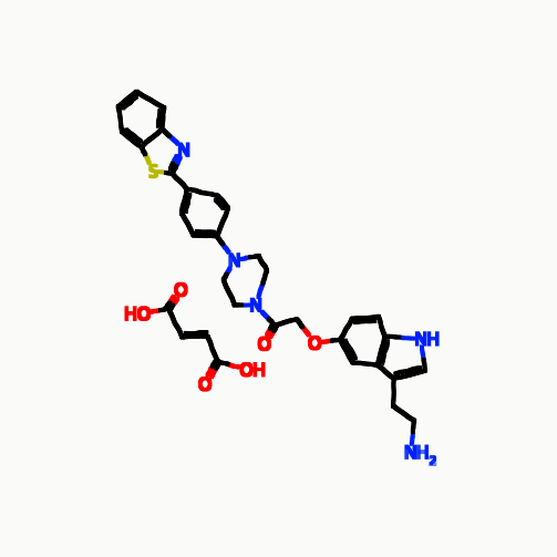 NCCc1c[nH]c2ccc(OCC(=O)N3CCN(c4ccc(-c5nc6ccccc6s5)cc4)CC3)cc12.O=C(O)C=CC(=O)O